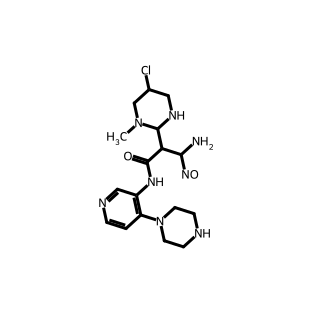 CN1CC(Cl)CNC1C(C(=O)Nc1cnccc1N1CCNCC1)C(N)N=O